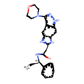 C[C@@H](NC(=O)c1nc2cc3c(N4CCOCC4)n[nH]c3cc2[nH]1)c1ccccc1